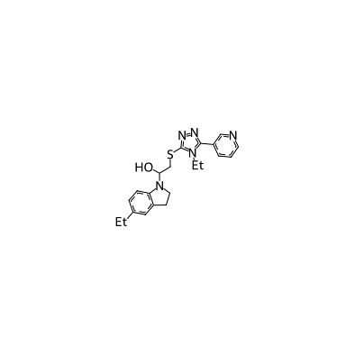 CCc1ccc2c(c1)CCN2C(O)CSc1nnc(-c2cccnc2)n1CC